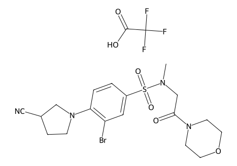 CN(CC(=O)N1CCOCC1)S(=O)(=O)c1ccc(N2CCC(C#N)C2)c(Br)c1.O=C(O)C(F)(F)F